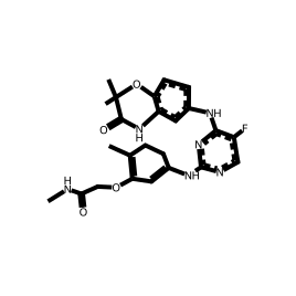 CNC(=O)COC1=C(C)CCC(Nc2ncc(F)c(Nc3ccc4c(c3)NC(=O)C(C)(C)O4)n2)=C1